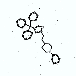 c1ccc(N2CCC(CCc3cn(C(c4ccccc4)(c4ccccc4)c4ccccc4)cn3)CC2)cc1